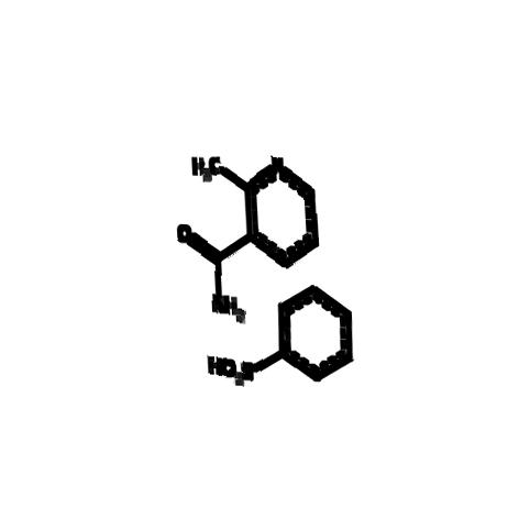 Cc1ncccc1C(N)=O.O=S(=O)(O)c1ccccc1